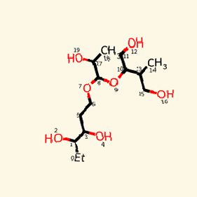 CC[C@@H](O)C(O)CCOC(OC(CO)C(C)CO)C(C)O